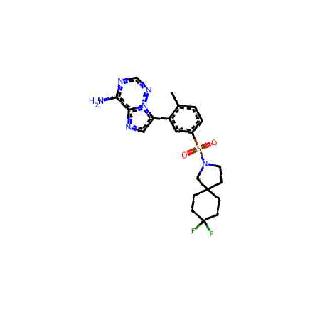 Cc1ccc(S(=O)(=O)N2CCC3(CCC(F)(F)CC3)C2)cc1-c1cnc2c(N)ncnn12